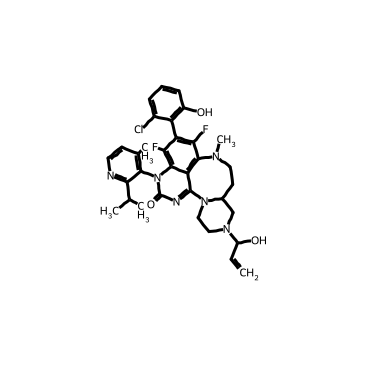 C=CC(O)N1CCN2c3nc(=O)n(-c4c(C)ccnc4C(C)C)c4c(F)c(-c5c(O)cccc5Cl)c(F)c(c34)N(C)CCC2C1